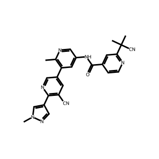 Cc1ncc(NC(=O)c2ccnc(C(C)(C)C#N)c2)cc1-c1cnc(-c2cnn(C)c2)c(C#N)c1